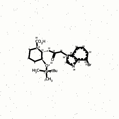 CC(C)(C)[Si](C)(C)O[C@H]1CCCN(C(=O)O)[C@@H]1CC(=O)Cn1cnc2c(Br)cccc21